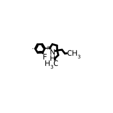 CCCC1(CCC)CC[C@H](c2cc[c]cc2F)N1